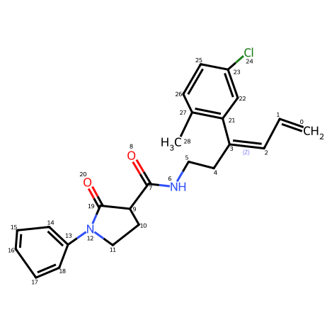 C=C/C=C(/CCNC(=O)C1CCN(c2ccccc2)C1=O)c1cc(Cl)ccc1C